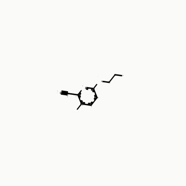 CCCOc1ccc(Br)c(C#N)n1